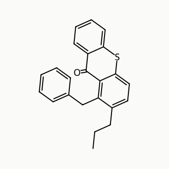 CCCc1ccc2sc3ccccc3c(=O)c2c1Cc1ccccc1